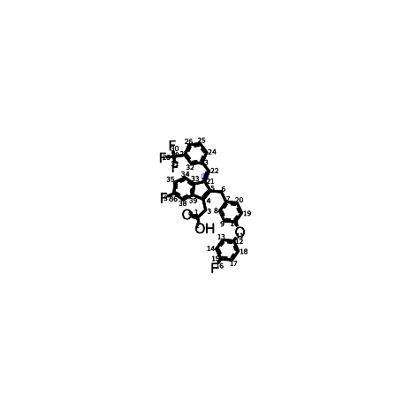 O=C(O)CC1=C(Cc2ccc(Oc3ccc(F)cc3)cc2)/C(=C/c2cccc(C(F)(F)F)c2)c2ccc(F)cc21